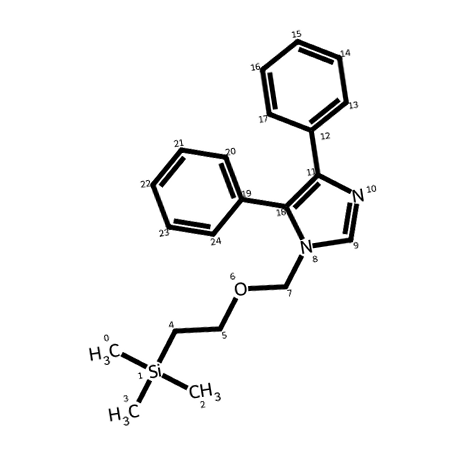 C[Si](C)(C)CCOCn1cnc(-c2ccccc2)c1-c1ccccc1